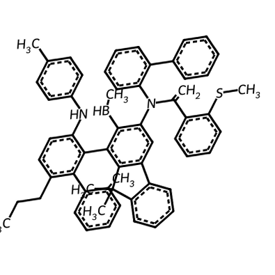 C=C(c1ccccc1SC)N(c1ccccc1-c1ccccc1)c1cc2c(c(-c3c(Nc4ccc(C)cc4)ccc(CCC)c3-c3ccccc3C)c1BC)C(C)(C)c1ccccc1-2